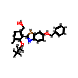 Cc1ccc(CO)c(-c2nc3ccc(OCc4ccccc4)cc3s2)c1O[Si](C)(C)C(C)(C)C